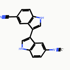 [C-]#[N+]c1ccc2[nH]cc(-c3c[nH]c4ccc(C#N)cc34)c2c1